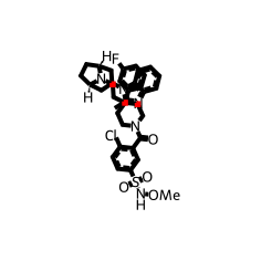 CONS(=O)(=O)c1ccc(Cl)c(C(=O)N2CCC(CCN3[C@@H]4CC[C@H]3CC(n3c(C)nc5ccccc53)C4)(c3cccc(F)c3)CC2)c1